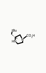 CC(C)(C)C[C@@H]1CN(C(=O)O)CCN1